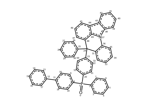 O=P(c1ccccc1)(c1ccc(-c2ccccc2)cc1)c1ccc(C2(c3ccccc3)c3ccccc3-n3c4ccccc4c4cccc2c43)cc1